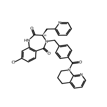 O=C1Nc2cc(Cl)ccc2C(=O)N(Cc2ccc(C(=O)N3CCCc4cccnc43)cc2)[C@@H]1Cc1ccccn1